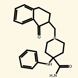 NC(=O)C1(Nc2ccccc2)CCN(CC2CCc3ccccc3C2=O)CC1